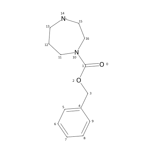 O=C(OCc1ccccc1)N1CCC[N]CC1